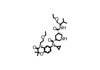 CCOCCN1C(=O)C(C)(C)Oc2ccc(N(C(=O)[C@H]3CNC[C@@H](C(=O)N[C@@H](COCC)C(C)C)C3)C3CC3)cc21